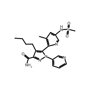 CCCCc1c(C(N)=O)nn(-c2cccnc2)c1-c1ncc(NS(C)(=O)=O)cc1C